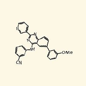 COc1cccc(-c2ccc3nc(-c4cccnc4)nc(Nc4cccc(C#N)c4)c3c2)c1